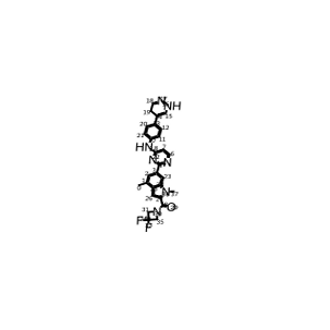 Cc1cc(-c2nccc(Nc3ccc(C4=CNN=CC4)cc3)n2)cc2c1cc(C(=O)N1CC(F)(F)C1)n2C